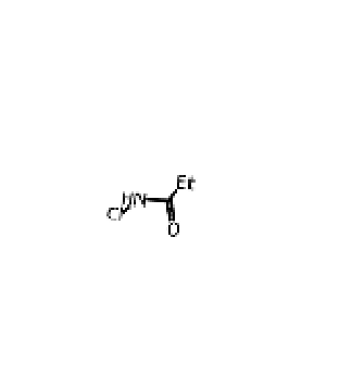 CCC(=O)NCl